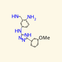 COc1cccc(-c2nnc(Nc3ccc(N)c(C=N)c3)[nH]2)c1